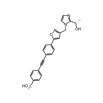 C[C@H](O)c1nccn1Cc1cc(-c2ccc(C#Cc3ccc(C(=O)O)cc3)cc2)on1